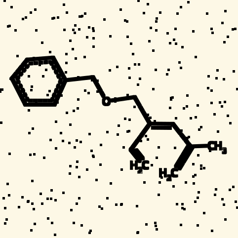 C=C/C(=C\C(=C)C)COCc1ccccc1